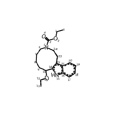 CCOC(=O)N1CCCCC(OCC)c2[nH]c3ccccc3c2CC1